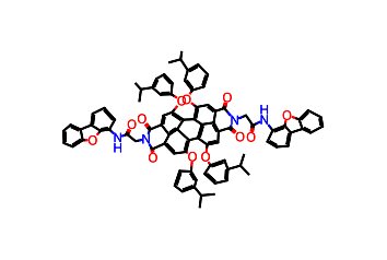 CC(C)c1cccc(Oc2cc3c4c(cc(Oc5cccc(C(C)C)c5)c5c6c(Oc7cccc(C(C)C)c7)cc7c8c(cc(Oc9cccc(C(C)C)c9)c(c2c45)c86)C(=O)N(CC(=O)Nc2cccc4c2oc2ccccc24)C7=O)C(=O)N(CC(=O)Nc2cccc4c2oc2ccccc24)C3=O)c1